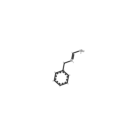 CC(C)(C)C=NCc1ccccc1